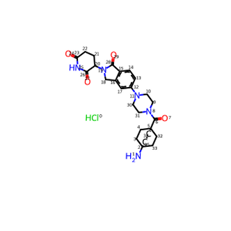 Cl.NC12CCC(C(=O)N3CCN(c4ccc5c(c4)CN(C4CCC(=O)NC4=O)C5=O)CC3)(CC1)CC2